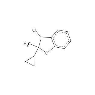 CC1(C2CC2)Oc2ccccc2C1Cl